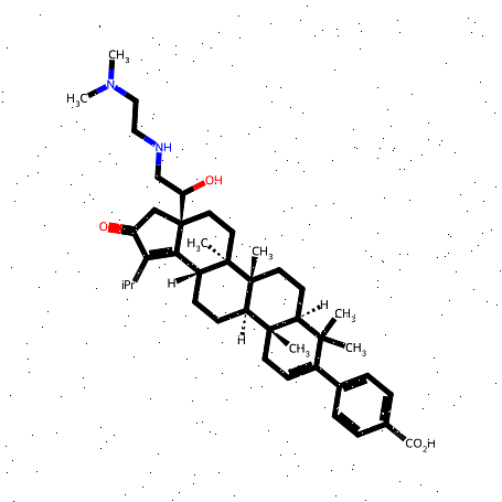 CC(C)C1=C2[C@H]3CC[C@@H]4[C@@]5(C)CC=C(c6ccc(C(=O)O)cc6)C(C)(C)[C@@H]5CC[C@@]4(C)[C@]3(C)CC[C@@]2(C(O)CNCCN(C)C)CC1=O